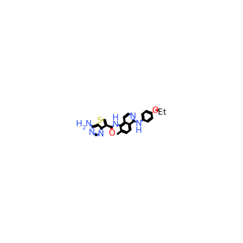 CCOc1ccc(Nc2nccc3c(NC(=O)c4csc5c(N)ncnc45)c(C)ccc23)cc1